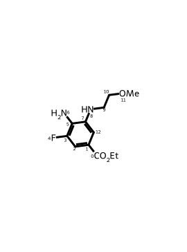 CCOC(=O)c1cc(F)c(N)c(NCCOC)c1